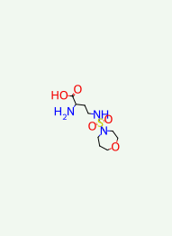 NC(CCNS(=O)(=O)N1CCCOCC1)C(=O)O